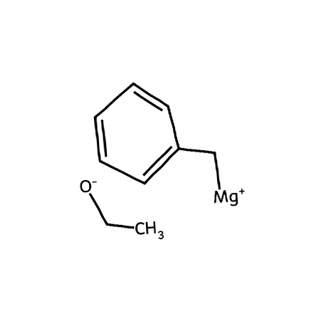 CC[O-].[Mg+][CH2]c1ccccc1